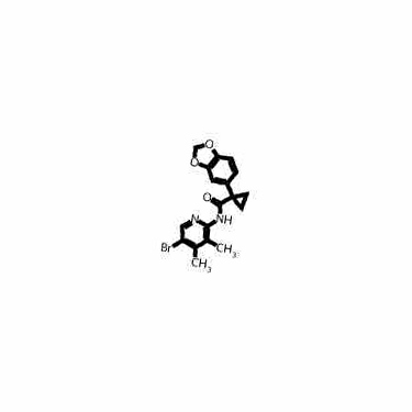 Cc1c(Br)cnc(NC(=O)C2(c3ccc4c(c3)OCO4)CC2)c1C